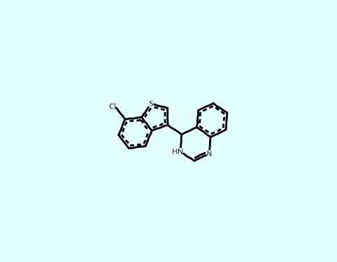 Clc1cccc2c(C3NC=Nc4ccccc43)csc12